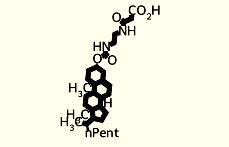 CCCCC[C@@H](C)C1CCC2[C@@H]3CC=C4C[C@@H](OC(=O)NCCNC(=O)CC(=O)O)CC[C@]4(C)C3CC[C@@]21C